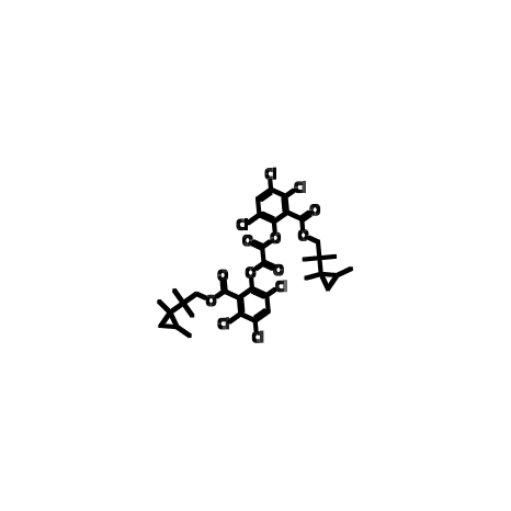 CC1CC1(C)C(C)(C)COC(=O)c1c(Cl)c(Cl)cc(Cl)c1OC(=O)C(=O)Oc1c(Cl)cc(Cl)c(Cl)c1C(=O)OCC(C)(C)C1(C)CC1C